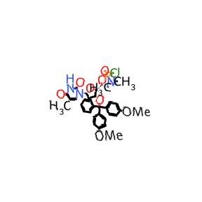 COc1ccc(C(O[C@H]2C[C@H](n3cc(C)c(=O)[nH]c3=O)O[C@@H]2COP(=O)(Cl)N(C)C)(c2ccccc2)c2ccc(OC)cc2)cc1